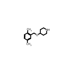 Cc1ccc(C)c(COC2CCNCC2)c1